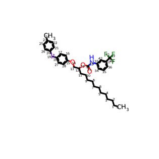 CCCCCCCCCCCCC(COc1ccc([I+]c2ccc(C)cc2)cc1)OC(=O)Nc1cccc(C(F)(F)F)c1